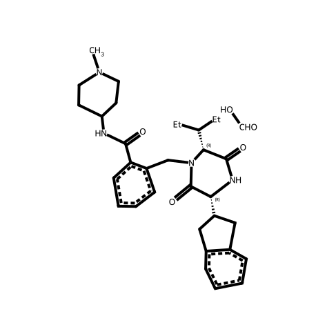 CCC(CC)[C@@H]1C(=O)N[C@H](C2Cc3ccccc3C2)C(=O)N1Cc1ccccc1C(=O)NC1CCN(C)CC1.O=CO